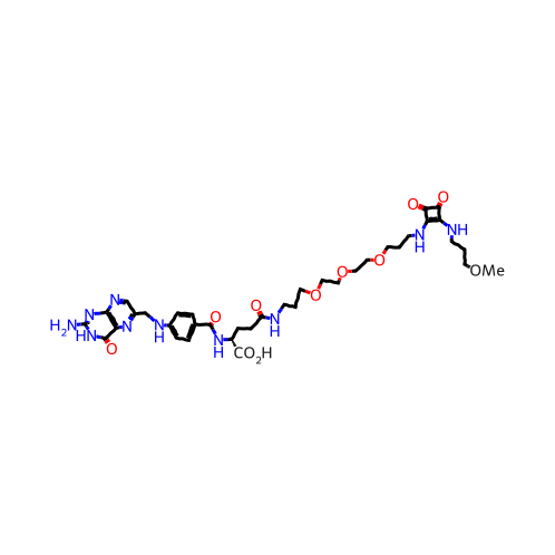 COCCCNc1c(NCCCOCCOCCOCCCNC(=O)CC[C@H](NC(=O)c2ccc(NCc3cnc4nc(N)[nH]c(=O)c4n3)cc2)C(=O)O)c(=O)c1=O